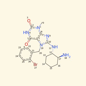 Cn1c(=O)[nH]c(=O)c2c1nc(N[C@H]1CCCC[C@@H]1N)n2Cc1ccccc1Br